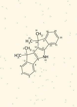 CC1(C)c2ccccc2-c2[nH]c3c(c21)C(C)(C)c1ccccc1-3